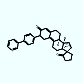 C[C@]12CCC3=C4CC(c5ccc(-c6cccnc6)cc5)C(=O)C=C4CC[C@H]3[C@@H]1CC[C@]21CCCC1=O